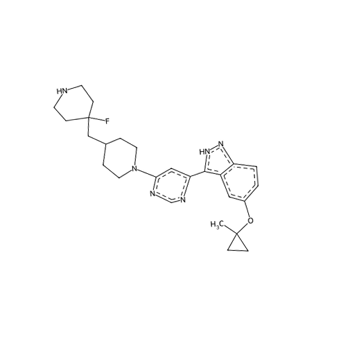 CC1(Oc2ccc3n[nH]c(-c4cc(N5CCC(CC6(F)CCNCC6)CC5)ncn4)c3c2)CC1